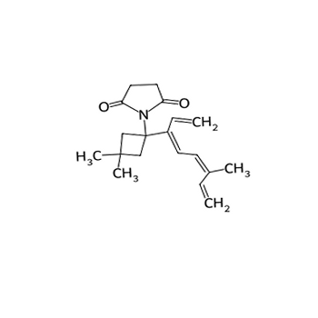 C=C/C(C)=C\C=C(/C=C)C1(N2C(=O)CCC2=O)CC(C)(C)C1